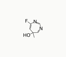 CC1(O)C=NC=NC(F)=C1